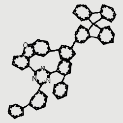 c1ccc(-c2cccc(-c3nc(-c4ccccc4-c4ccccc4)nc(-c4cccc5oc6ccc(-c7cccc(-c8ccc9c(c8)-c8ccccc8C98c9ccccc9-c9ccccc98)c7)cc6c45)n3)c2)cc1